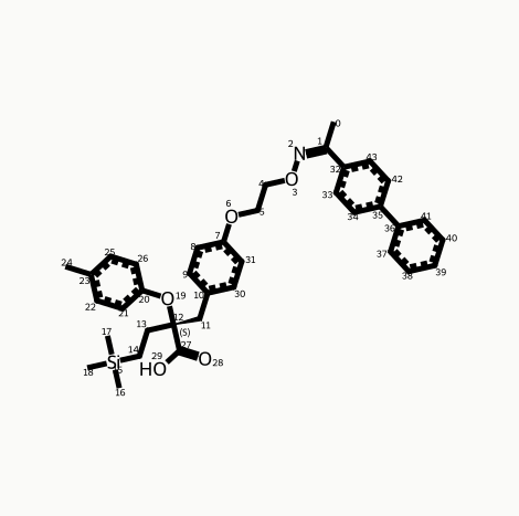 CC(=NOCCOc1ccc(C[C@@](CC[Si](C)(C)C)(Oc2ccc(C)cc2)C(=O)O)cc1)c1ccc(-c2ccccc2)cc1